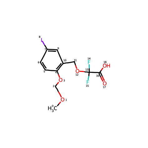 COCOc1ccc(I)cc1COC(F)(F)C(=O)O